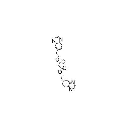 O=C(CC(=O)OCCc1ccc2nccnc2c1)OCCc1ccc2nccnc2c1